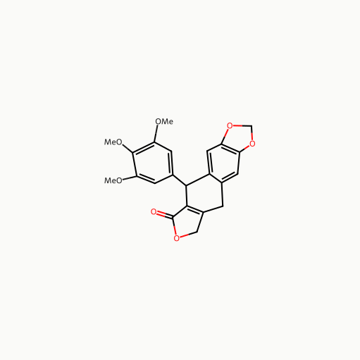 COc1cc(C2C3=C(COC3=O)Cc3cc4c(cc32)OCO4)cc(OC)c1OC